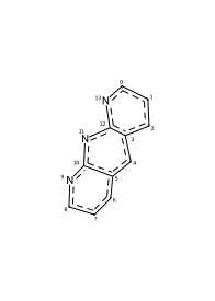 [c]1ccc2cc3cccnc3nc2n1